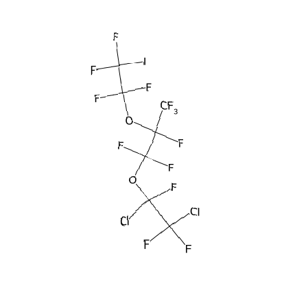 FC(F)(F)C(F)(OC(F)(F)C(F)(F)I)C(F)(F)OC(F)(Cl)C(F)(F)Cl